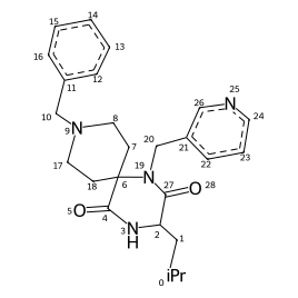 CC(C)CC1NC(=O)C2(CCN(Cc3ccccc3)CC2)N(Cc2cccnc2)C1=O